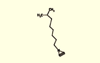 CC(C)CCCCCCN1C#C1